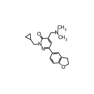 CN(C)Cc1cc(-c2ccc3c(c2)CCO3)nn(CC2CC2)c1=O